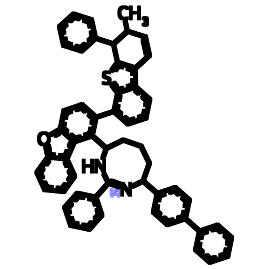 CC1C=Cc2c(sc3c(-c4ccc5oc6ccccc6c5c4C4CCCC(c5ccc(-c6ccccc6)cc5)/N=C(/c5ccccc5)N4)cccc23)C1c1ccccc1